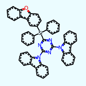 c1ccc([Si](c2ccccc2)(c2ccc3oc4ccccc4c3c2)c2nc(-n3c4ccccc4c4ccccc43)nc(-n3c4ccccc4c4ccccc43)n2)cc1